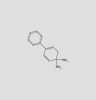 NC1(N)C=CC(c2ccccc2)=CC1